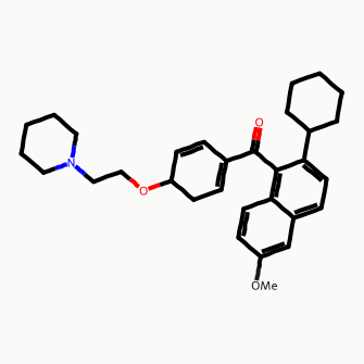 COc1ccc2c(C(=O)C3=CCC(OCCN4CCCCC4)C=C3)c(C3CCCCC3)ccc2c1